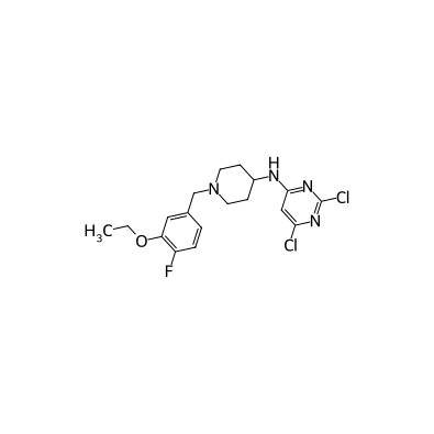 CCOc1cc(CN2CCC(Nc3cc(Cl)nc(Cl)n3)CC2)ccc1F